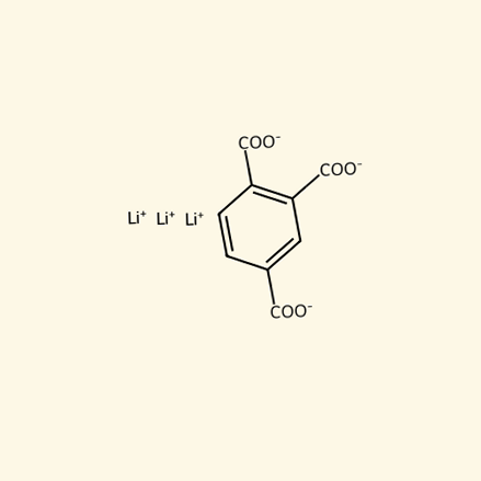 O=C([O-])c1ccc(C(=O)[O-])c(C(=O)[O-])c1.[Li+].[Li+].[Li+]